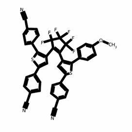 COc1ccc(-c2sc(-c3ccc(C#N)cc3)cc2C2=C(c3cc(-c4ccc(C#N)cc4)sc3-c3ccc(C#N)cc3)C(F)(F)C(F)(F)C2(F)F)cc1